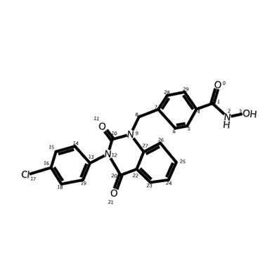 O=C(NO)c1ccc(Cn2c(=O)n(-c3ccc(Cl)cc3)c(=O)c3ccccc32)cc1